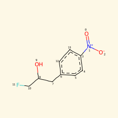 O=[N+]([O-])c1ccc(CC(O)CF)cc1